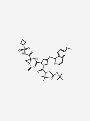 C=C[C@@H]1C[C@]1(NC(=O)C1C[C@@H](Oc2nccc3cc(OC)ccc23)CN1C(=O)[C@@H](NC(=O)OC(C)(C)C)C(C)(C)C)C(=O)NS(=O)(=O)C1CCC1